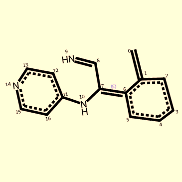 C=c1cccc/c1=C(/C=N)Nc1ccncc1